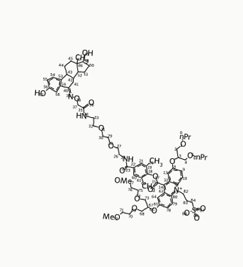 CCCOCC(COCCC)Oc1ccc2c(c1)c(C(=O)Oc1c(C)cc(C(=O)NCCOCCOCCNC(=O)CON=C3CC4C(CCC5(C)C(O)CCC45)c4ccc(O)cc43)cc1C)c1cc(OC(COCCOC)COCCOC)ccc1[n+]2CCCS(=O)(=O)[O-]